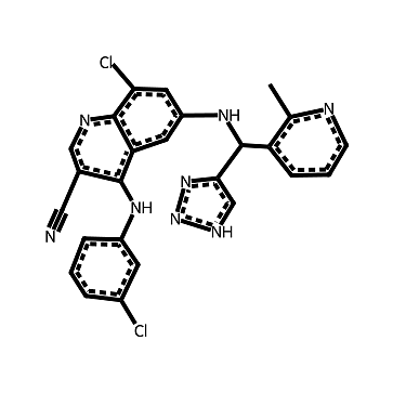 Cc1ncccc1C(Nc1cc(Cl)c2ncc(C#N)c(Nc3cccc(Cl)c3)c2c1)c1c[nH]nn1